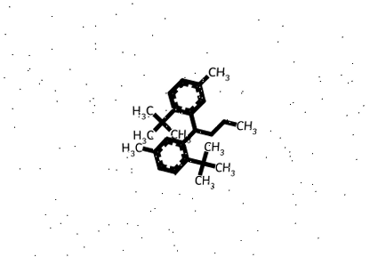 CCCC(c1cc(C)c[c]c1C(C)(C)C)c1cc(C)c[c]c1C(C)(C)C